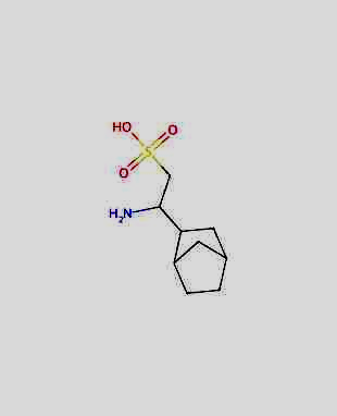 NC(CS(=O)(=O)O)C1CC2CCC1C2